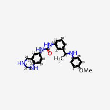 COc1ccc(NC(C)c2cccc(NC(=O)Nc3ccc4c(c3)CNCN4)c2)cc1